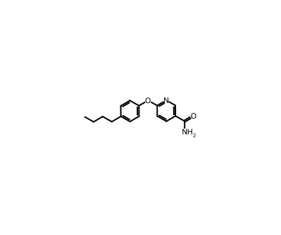 CCCCc1ccc(Oc2ccc(C(N)=O)cn2)cc1